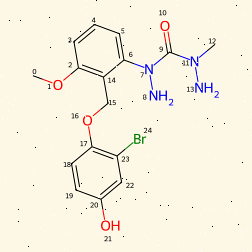 COc1cccc(N(N)C(=O)N(C)N)c1COc1ccc(O)cc1Br